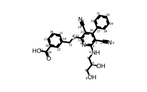 N#Cc1c(NC[C@@H](O)CO)nc(SCc2cccc(C(=O)O)c2)c(C#N)c1-c1ccccc1